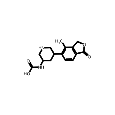 Cc1c(C2CNCC(NC(=O)O)C2)ccc2c1COC2=O